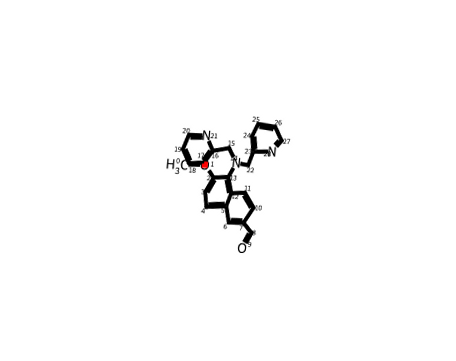 COc1ccc2cc(C=O)ccc2c1N(Cc1ccccn1)Cc1ccccn1